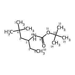 CCC(CC(C)(C)C)NC(=O)OC(C)(C)C